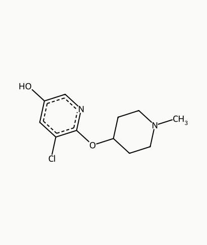 CN1CCC(Oc2ncc(O)cc2Cl)CC1